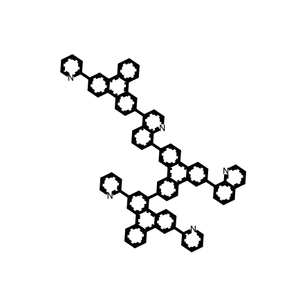 c1ccc(-c2ccc3c4ccc(-c5ccnc6c(-c7ccc8c9ccc(-c%10cccc%11cccnc%10%11)cc9c9ccc(-c%10cc(-c%11ccccn%11)cc%11c%12ccccc%12c%12cc(-c%13ccccn%13)ccc%12c%10%11)cc9c8c7)cccc56)cc4c4ccccc4c3c2)nc1